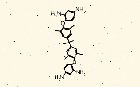 Cc1cc(C(C)(C)c2cc(C)c(Oc3ccc(N)cc3N)c(C)c2)cc(C)c1Oc1ccc(N)cc1N